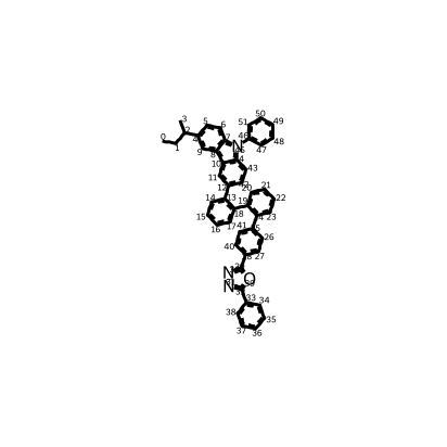 CCC(C)c1ccc2c(c1)c1cc(-c3ccccc3-c3ccccc3-c3ccc(-c4nnc(-c5ccccc5)o4)cc3)ccc1n2-c1ccccc1